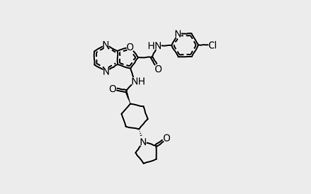 O=C(Nc1ccc(Cl)cn1)c1oc2nccnc2c1NC(=O)[C@H]1CC[C@H](N2CCCC2=O)CC1